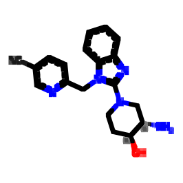 N#Cc1ccc(Cn2c(N3CC[C@H](O)[C@@H](N)C3)nc3ccccc32)nc1